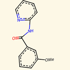 COc1cccc(C(=O)Nc2ccccn2)c1